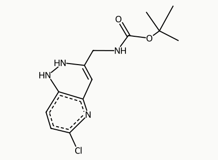 CC(C)(C)OC(=O)NCC1=Cc2nc(Cl)ccc2NN1